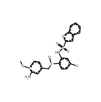 CO[n+]1ccc(C[S+]([O-])c2ccc(Cl)cc2NS(=O)(=O)c2cc3ccccc3o2)cc1N